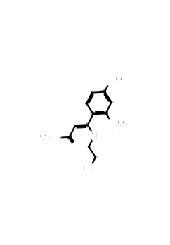 COC(=O)/C=C(\NCCO)c1ccc(OC)cc1OC